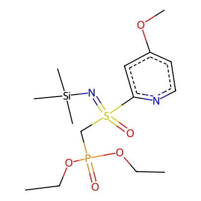 CCOP(=O)(CS(=O)(=N[Si](C)(C)C)c1cc(OC)ccn1)OCC